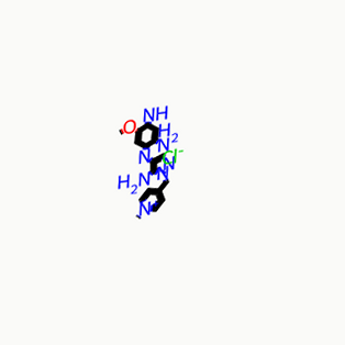 COC1=C/C(=N/c2cnn(Cc3cc[n+](C)cc3)c2N)C(N)=CC1=N.[Cl-]